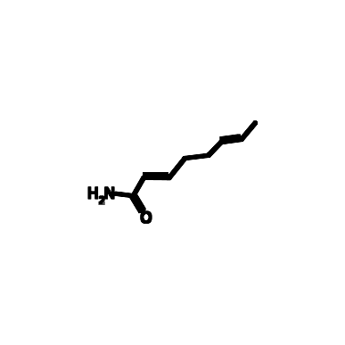 CC=CCCC=CC(N)=O